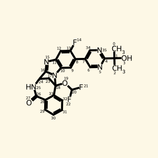 CC(C)(O)c1ncc(-c2cc3c(cc2F)nc2n3C3(OC(F)F)CC2NC(=O)c2ccccc23)cn1